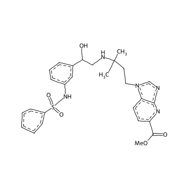 COC(=O)c1ccc2c(ncn2CCC(C)(C)NCC(O)c2cccc(NS(=O)(=O)c3ccccc3)c2)n1